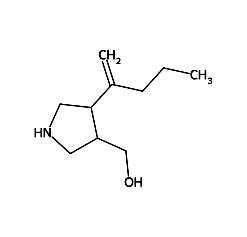 C=C(CCC)C1CNCC1CO